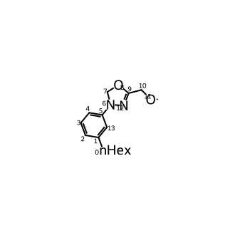 CCCCCCc1cccc(N2COC(C[O])=N2)c1